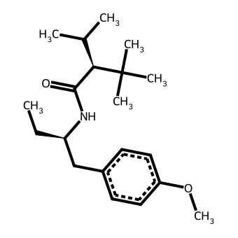 CC[C@H](Cc1ccc(OC)cc1)NC(=O)[C@@H](C(C)C)C(C)(C)C